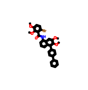 COc1ccc(Br)c(C(=O)Nc2cccc3c(-c4ccc(-c5ccccc5)cc4)c(OC)c(OC)cc23)c1OC